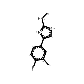 CNc1nc(-c2ccc(F)c(C)c2)cs1